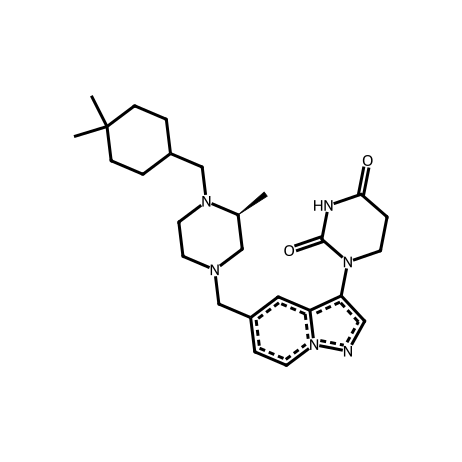 C[C@H]1CN(Cc2ccn3ncc(N4CCC(=O)NC4=O)c3c2)CCN1CC1CCC(C)(C)CC1